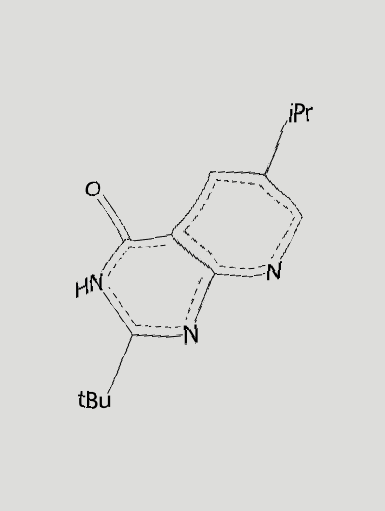 CC(C)c1cnc2nc(C(C)(C)C)[nH]c(=O)c2c1